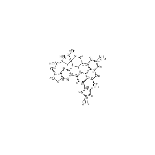 CCC1NC(C(=O)O)CC12CCN(c1cc(O[C@H](c3ccc(-c4ccc5c(c4)COC5=O)cc3-n3ccc(C)n3)C(F)(F)F)nc(N)n1)CC2